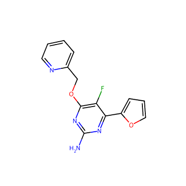 Nc1nc(OCc2ccccn2)c(F)c(-c2ccco2)n1